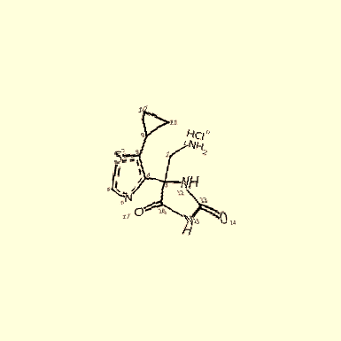 Cl.NCC1(c2ncsc2C2CC2)NC(=O)NC1=O